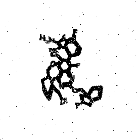 N#CCC1CCCC2COc3c(Cl)c(-c4ccc(F)c5sc(N)c(C#N)c45)c(F)c4nc(OCC56CCCN5C[C@H](F)C6)nc(c34)N12